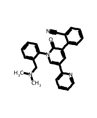 CN(C)Cc1ccccc1-n1cc(-c2ccccn2)cc(-c2ccccc2C#N)c1=O